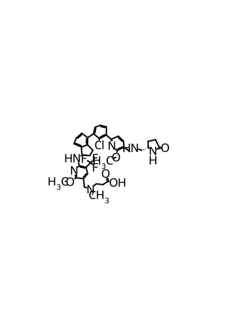 COc1nc(-c2cccc(-c3cccc4c3CC[C@@H]4Nc3nc(OC)c(CN(C)CCC(=O)O)cc3C(F)(F)F)c2Cl)ccc1CNC[C@@H]1CCC(=O)N1